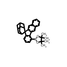 CC1(C)OB(c2cccc3c2-c2cc4ccccc4cc2C32C3CC4CC(C3)CC2C4)OC1(C)C